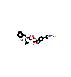 C[C@@H](C1CC1)N(Cc1ccccc1)C(=O)CN1C(=O)O[C@@]2(CCc3cc(C4CN(C(=O)O)C4)ccc32)C1=O